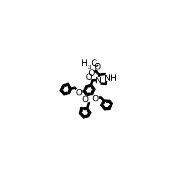 COC(=O)C1CNCCN1C(=O)c1cc(OCc2ccccc2)c(OCc2ccccc2)c(OCc2ccccc2)c1